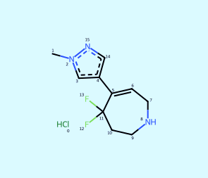 Cl.Cn1cc(C2=CCNCCC2(F)F)cn1